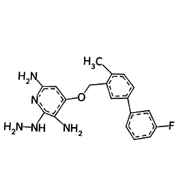 Cc1ccc(-c2cccc(F)c2)cc1COc1cc(N)nc(NN)c1N